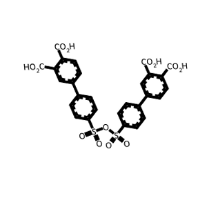 O=C(O)c1ccc(-c2ccc(S(=O)(=O)OS(=O)(=O)c3ccc(-c4ccc(C(=O)O)c(C(=O)O)c4)cc3)cc2)cc1C(=O)O